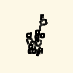 O=C(O)COc1ccc(Cl)cc1[C@@H]1c2ccc(F)cc2CCN1OC(=O)OCCc1cccc(F)c1